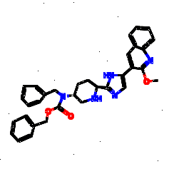 COc1nc2ccccc2cc1-c1cnc([C@@H]2CC[C@@H](N(Cc3ccccc3)C(=O)OCc3ccccc3)CN2)[nH]1